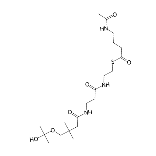 CC(=O)NCCCC(=O)SCCNC(=O)CCNC(=O)CC(C)(C)COC(C)(C)O